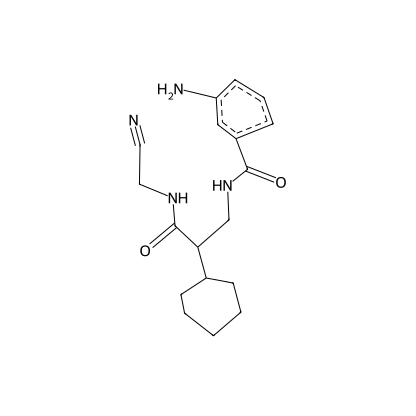 N#CCNC(=O)C(CNC(=O)c1cccc(N)c1)C1CCCCC1